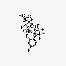 O=S(=O)(O)C(F)(F)C(F)(F)S(=O)(=O)NS(=O)(=O)C(F)(F)C(F)(F)Sc1ccc(F)cc1F